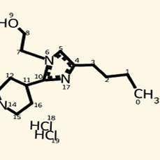 CCCCc1cn(CCO)c(C2CCNCC2)n1.Cl.Cl